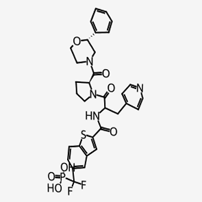 O=C(NC(Cc1ccncc1)C(=O)N1CCC[C@H]1C(=O)N1CCO[C@H](c2ccccc2)C1)c1cc2cc(C(F)(F)P(=O)(O)O)ccc2s1